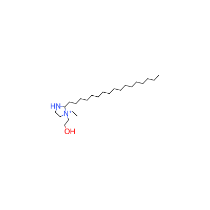 CCCCCCCCCCCCCCCCCC1NCC[N+]1(CC)CCO